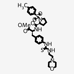 COC(=O)[C@H](Cc1ccc(NC(=S)NCCN2CCOCC2)cc1)NC(=O)[C@@H]1CCCN1S(=O)(=O)c1ccc(C)cc1